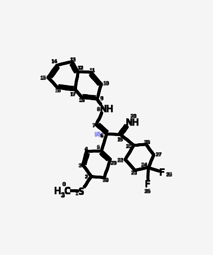 CSC1C=CC(/C(=C/Nc2ccc3ccccc3c2)C(=N)C2CCC(F)(F)CC2)=CC1